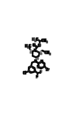 CC[C@@H]1C[C@H](N(Cc2cc(Cl)cc(C(F)F)c2)c2ncc(Br)cn2)C[C@H](CC)N1C(=O)OC(C)C